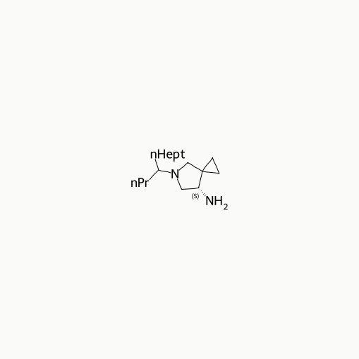 CCCCCCCC(CCC)N1C[C@@H](N)C2(CC2)C1